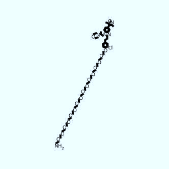 Cc1noc(C)c1-c1ccc2c(c1)nc(CCc1ccc(OCCOCCOCCOCCOCCOCCOCCOCCOCCOCCOCCOCCOCCOCCOCCOCCN)c(Cl)c1)n2CC(C)N1CCOCC1